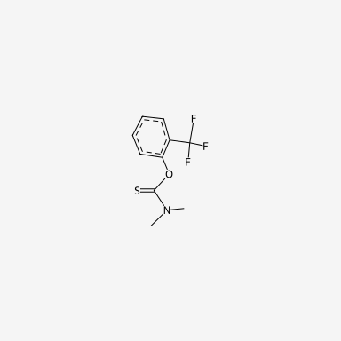 CN(C)C(=S)Oc1ccccc1C(F)(F)F